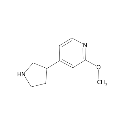 COc1cc(C2CCNC2)ccn1